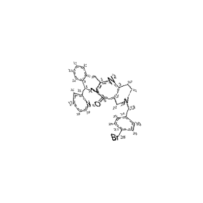 Cc1nc2c(c(=O)n1C(c1ccccc1)c1ccccn1)CN(Cc1ccc(Br)cc1)CC2